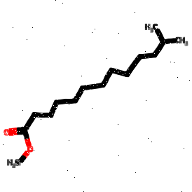 CC(C)CCCCCCCCCCC(=O)O[SiH3]